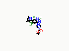 Cc1cc(C)nc(-c2c(Cl)cc3c(N4CCN(C(=O)OC(C)(C)C)CC4)nc(F)nc3c2F)c1